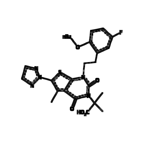 CCCCOc1ccc(F)cc1CCn1c(=O)n(C(C)(C)C(=O)O)c(=O)c2c(C)c(-n3nccn3)sc21